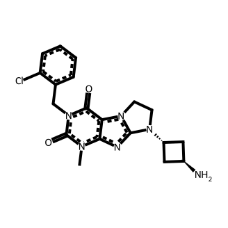 Cn1c(=O)n(Cc2ccccc2Cl)c(=O)c2c1nc1n2CCN1[C@H]1C[C@H](N)C1